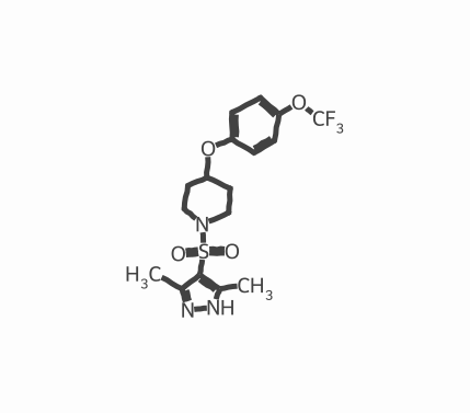 Cc1n[nH]c(C)c1S(=O)(=O)N1CCC(Oc2ccc(OC(F)(F)F)cc2)CC1